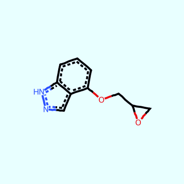 c1cc(OCC2CO2)c2cn[nH]c2c1